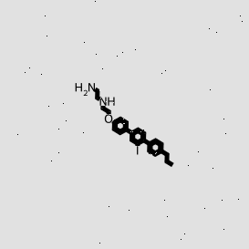 CCCc1ccc(-c2ccc(-c3ccc(OCCNCCN)cc3)cc2I)cc1